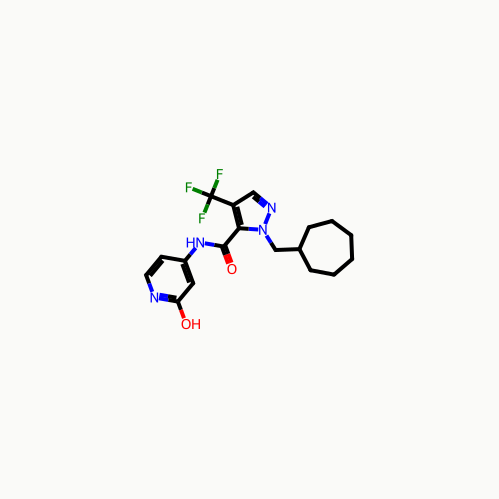 O=C(Nc1ccnc(O)c1)c1c(C(F)(F)F)cnn1CC1CCCCCC1